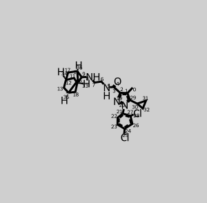 Cc1c(C(=O)NCCNC2[C@H]3C[C@@H]4C[C@@H](C[C@H]2C4)C3)nn(-c2ccc(Cl)cc2Cl)c1C1CC1